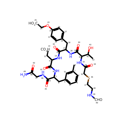 Cc1cccc(CC(NC(=O)C(CC(=O)O)NC(=O)C(Cc2ccc(OCC(=O)O)cc2)NC(=O)C(NC(=O)CSCCNC=O)C(C)O)C(=O)NCC(N)=O)c1